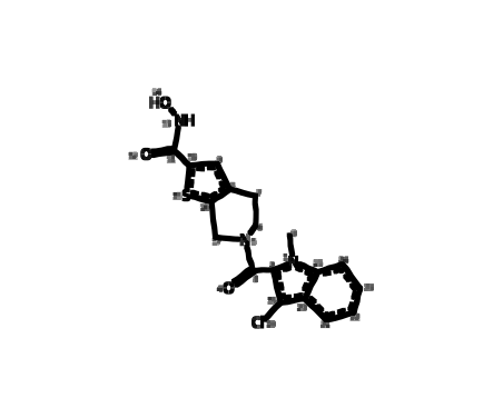 Cn1c(C(=O)N2CCc3cc(C(=O)NO)sc3C2)c(Cl)c2ccccc21